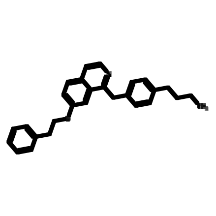 CCCCc1ccc(Cc2nccc3ccc(OCCc4ccccc4)cc23)cc1